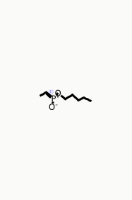 C/C=[P+](\[O-])OCCCCC